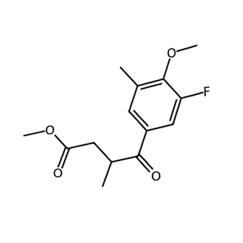 COC(=O)CC(C)C(=O)c1cc(C)c(OC)c(F)c1